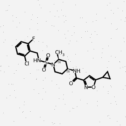 C[C@H]1C[C@@H](NC(=O)c2cc(C3CC3)on2)CCN1S(=O)(=O)NCc1c(F)cccc1Cl